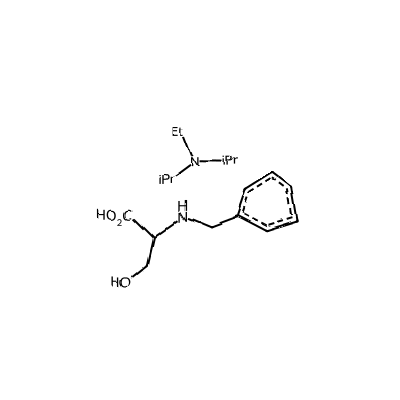 CCN(C(C)C)C(C)C.O=C(O)C(CO)NCc1ccccc1